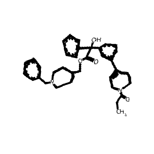 CCC(=O)N1CC=C(c2cccc([C@](O)(C(=O)OCC3CCN(Cc4ccccc4)CC3)c3ccccc3)c2)CC1